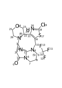 O=c1cc2nc3n1CC[C@@H](C(F)(F)F)N3Cc1sc(Cl)nc1[C@@H]1COCCN21